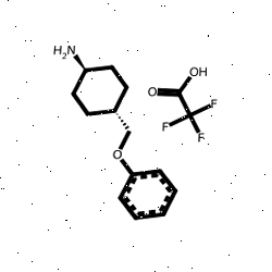 N[C@H]1CC[C@H](COc2ccccc2)CC1.O=C(O)C(F)(F)F